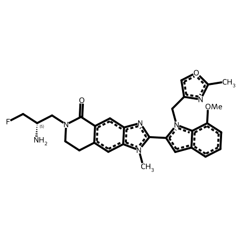 COc1cccc2cc(-c3nc4cc5c(cc4n3C)CCN(C[C@H](N)CF)C5=O)n(Cc3coc(C)n3)c12